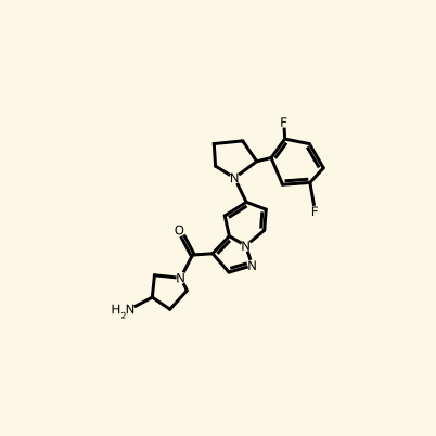 NC1CCN(C(=O)c2cnn3ccc(N4CCCC4c4cc(F)ccc4F)cc23)C1